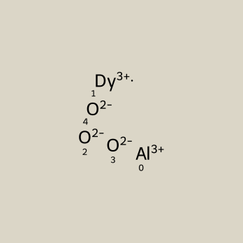 [Al+3].[Dy+3].[O-2].[O-2].[O-2]